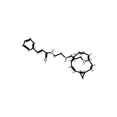 O=C(/C=C/c1ccccc1)OCCSCCCOC1=C\C=C/C=C\C=C/C2=C(/C=C\1)C2